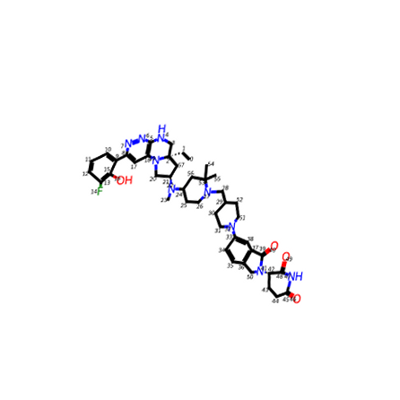 CC[C@@]12CNc3nnc(-c4cccc(F)c4O)cc3N1C[C@H](N(C)C1CCN(CC3CCN(c4ccc5c(c4)C(=O)N([C@H]4CCC(=O)NC4=O)C5)CC3)C(C)(C)C1)C2